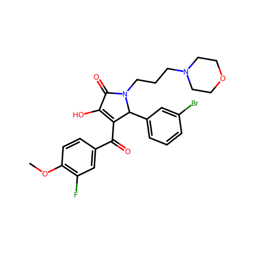 COc1ccc(C(=O)C2=C(O)C(=O)N(CCCN3CCOCC3)C2c2cccc(Br)c2)cc1F